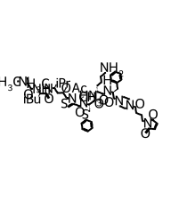 CC[C@H](C)C(NC(=O)C1CN1C)C(=O)N(C)[C@H](C[C@@H](OC(C)=O)c1nc(C(=O)N(C)[C@@H](CSc2ccccc2)C(=O)N[C@H](CCCCN)C(=O)N[C@@H](Cc2ccccc2)C(=O)N2CCN(C(=O)CCCN3C(=O)C=CC3=O)CC2)cs1)C(C)C